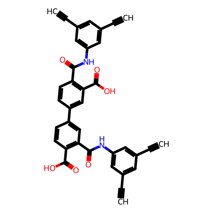 C#Cc1cc(C#C)cc(NC(=O)c2ccc(-c3ccc(C(=O)O)c(C(=O)Nc4cc(C#C)cc(C#C)c4)c3)cc2C(=O)O)c1